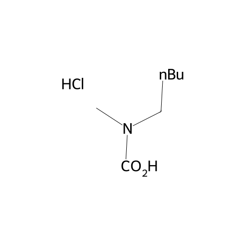 CCCCCN(C)C(=O)O.Cl